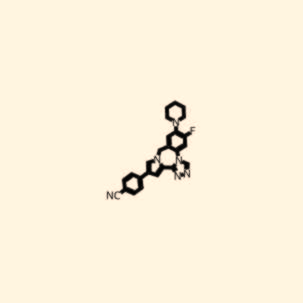 N#Cc1ccc(-c2cc3n(c2)Cc2cc(N4CCCCC4)c(F)cc2-n2cnnc2-3)cc1